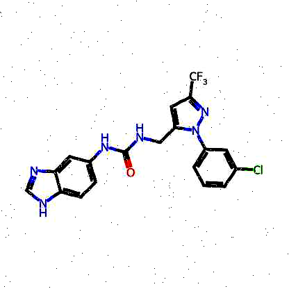 O=C(NCc1cc(C(F)(F)F)nn1-c1cccc(Cl)c1)Nc1ccc2[nH]cnc2c1